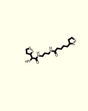 CCCC(C(=O)NCCCNC(=O)CCCCC1CCSS1)C1CCSS1